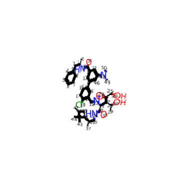 C[C@H](Cc1ccccc1)NC(=O)c1cc(-c2ccc(Cl)c(CN3O[C@@H](CO)[C@@H]([C@H](C)O)[C@H]3C(=O)NC[C@@H](C)[C@@H]3C[C@H](C)C3(C)C)c2)cc(N(C)C)c1